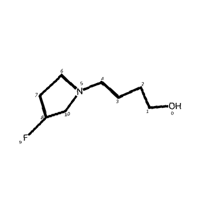 OCCCCN1CCC(F)C1